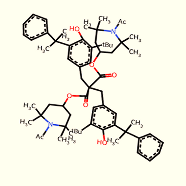 CC(=O)N1C(C)(C)CC(OC(=O)C(Cc2cc(C(C)(C)C)c(O)c(C(C)(C)c3ccccc3)c2)(Cc2cc(C(C)(C)C)c(O)c(C(C)(C)c3ccccc3)c2)C(=O)OC2CC(C)(C)N(C(C)=O)C(C)(C)C2)CC1(C)C